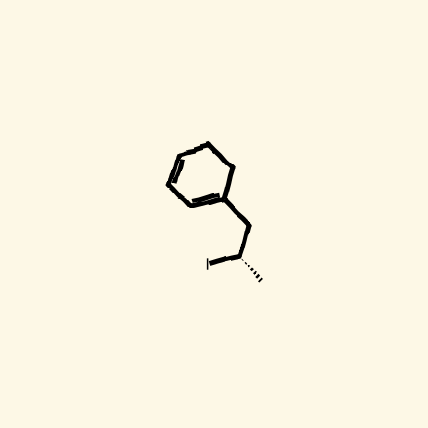 C[C@H](I)CC1=CC=CCC1